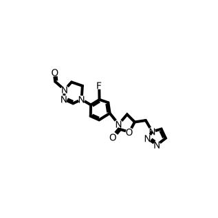 O=CN1CCN(c2ccc(N3CC(Cn4ccnn4)OC3=O)cc2F)C=N1